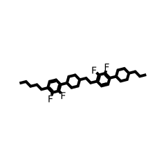 CCCCCc1ccc(C2CCC(CCc3ccc(C4CCC(CCC)CC4)c(F)c3F)CC2)c(F)c1F